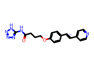 O=C(CCCOc1ccc(/C=C/c2ccncc2)cc1)Nc1nnn[nH]1